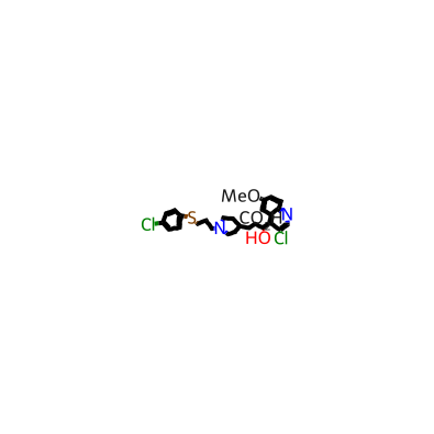 COc1ccc2ncc(Cl)c([C@@H](O)CCC3(C(=O)O)CCN(CCCSc4ccc(Cl)cc4)CC3)c2c1